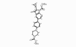 CC(C)(C)OC(=O)N1CCN(c2ccc(-c3cnc4c(c3)c(I)c(C3CC3)n4C(=O)OC(C)(C)C)cc2)CC1